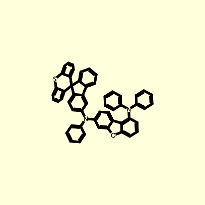 c1ccc(N(c2ccc3c(c2)-c2ccccc2C32c3ccccc3Sc3ccccc32)c2ccc3c(c2)oc2cccc(N(c4ccccc4)c4ccccc4)c23)cc1